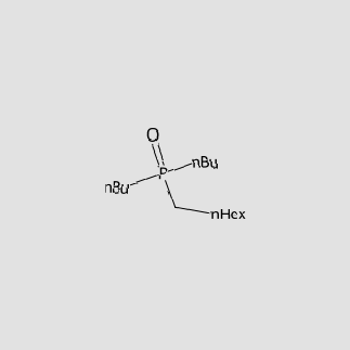 CCCCCCCP(=O)(CCCC)CCCC